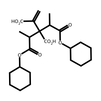 C=C(C(=O)O)C(C(=O)O)(C(C)C(=O)OC1CCCCC1)C(C)C(=O)OC1CCCCC1